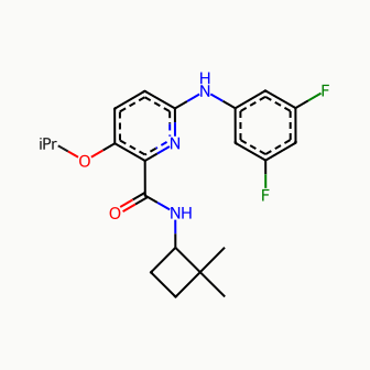 CC(C)Oc1ccc(Nc2cc(F)cc(F)c2)nc1C(=O)NC1CCC1(C)C